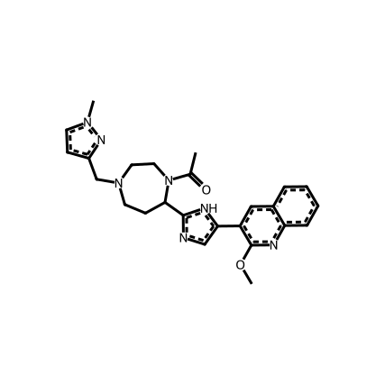 COc1nc2ccccc2cc1-c1cnc(C2CCN(Cc3ccn(C)n3)CCN2C(C)=O)[nH]1